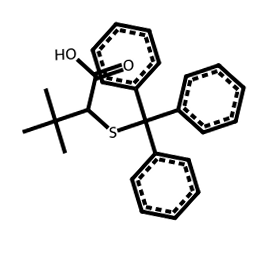 CC(C)(C)C(SC(c1ccccc1)(c1ccccc1)c1ccccc1)C(=O)O